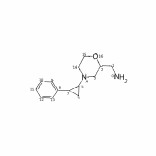 NCC1CN(C2CC2c2ccccc2)CCO1